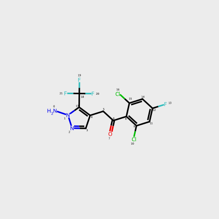 Nn1ncc(CC(=O)c2c(Cl)cc(F)cc2Cl)c1C(F)(F)F